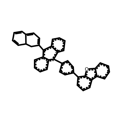 C1=CC2=CC=C(c3c4ccccc4c(-c4ccc(-c5cccc6c5oc5ccccc56)cc4)c4ccccc34)CC2C=C1